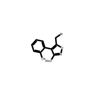 COc1noc(CBr)c1-c1ccccc1C#N